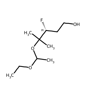 CCOC(C)OC(C)(C)[C@H](F)CCO